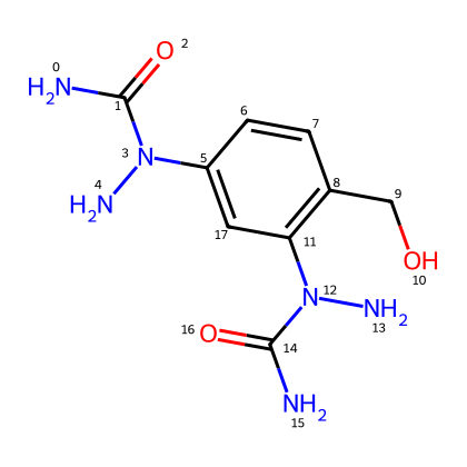 NC(=O)N(N)c1ccc(CO)c(N(N)C(N)=O)c1